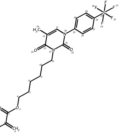 C=C(C)C(=O)OCCCCCCn1c(=O)c(C)cn(-c2ccc(S(F)(F)(F)(F)F)cc2)c1=O